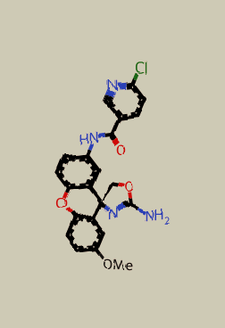 COc1ccc2c(c1)[C@]1(COC(N)=N1)c1cc(NC(=O)c3ccc(Cl)nc3)ccc1O2